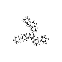 c1ccc(-c2ccc(-c3nc(-c4cccc(-c5ccccc5)c4)nc(-c4ccc5ccc6c7ccccc7oc6c5c4)n3)cc2)cc1